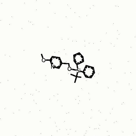 COc1ccc(CO[Si](c2ccccc2)(c2ccccc2)C(C)(C)C)cn1